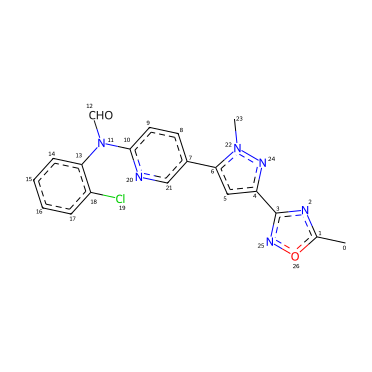 Cc1nc(-c2cc(-c3ccc(N(C=O)c4ccccc4Cl)nc3)n(C)n2)no1